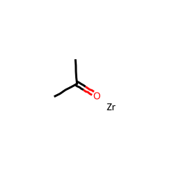 CC(C)=O.[Zr]